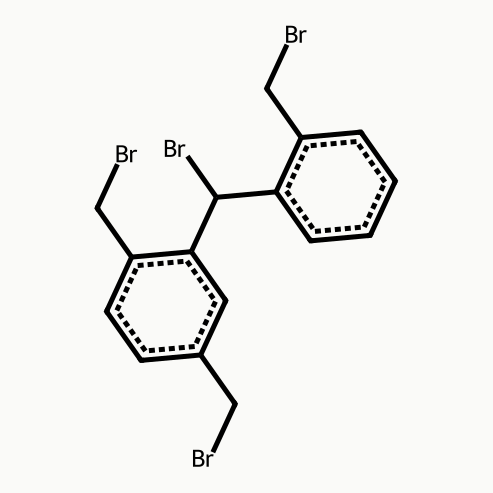 BrCc1ccc(CBr)c(C(Br)c2ccccc2CBr)c1